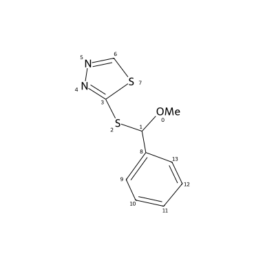 COC(Sc1nncs1)c1ccccc1